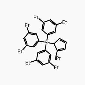 CCc1cc(CC)cc([Si]([C]2C=CC=C2C(C)C)(c2cc(CC)cc(CC)c2)c2cc(CC)cc(CC)c2)c1